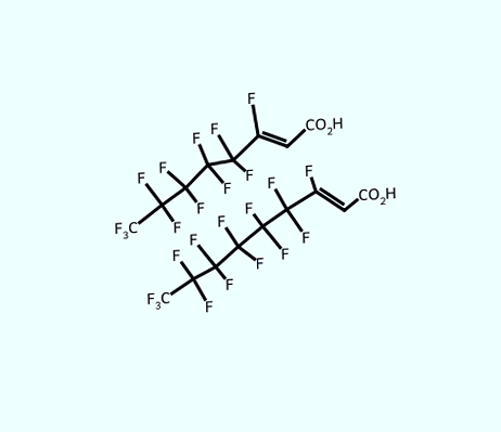 O=C(O)C=C(F)C(F)(F)C(F)(F)C(F)(F)C(F)(F)C(F)(F)C(F)(F)F.O=C(O)C=C(F)C(F)(F)C(F)(F)C(F)(F)C(F)(F)C(F)(F)F